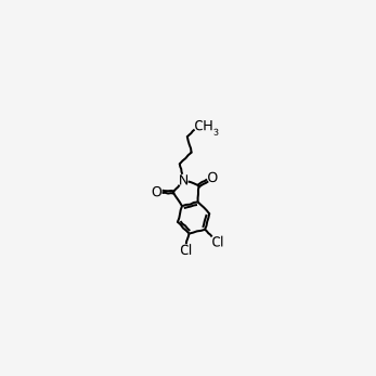 CCCCN1C(=O)c2cc(Cl)c(Cl)cc2C1=O